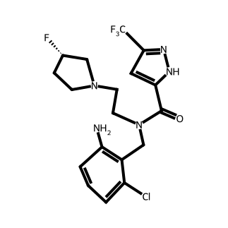 Nc1cccc(Cl)c1CN(CCN1CC[C@H](F)C1)C(=O)c1cc(C(F)(F)F)n[nH]1